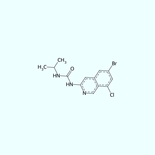 CC(C)NC(=O)Nc1cc2cc(Br)cc(Cl)c2cn1